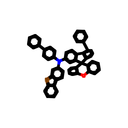 c1ccc(-c2ccc(N(c3ccc4c(c3)C3(c5ccccc5Oc5ccccc53)c3cccc(-c5ccccc5)c3-4)c3ccc4c(c3)sc3ccccc34)cc2)cc1